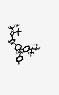 CC(C)(C)C1C(c2cn(C3CCC(c4ccc(C(F)(C(F)(F)F)C(F)(F)F)cc4)(S(=O)(=O)c4ccc(F)cc4)CC3)nn2)CN1C(=O)O